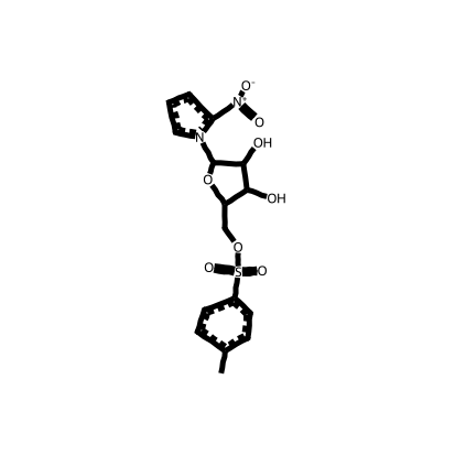 Cc1ccc(S(=O)(=O)OCC2OC(n3cccc3[N+](=O)[O-])C(O)C2O)cc1